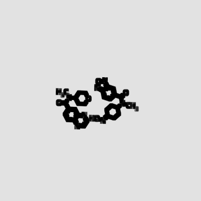 CN(C(=O)c1ccc2nccnc2c1)C1CCOCC1.CN(C(=O)c1ccc2nonc2c1)C1CCC(=NO)CC1